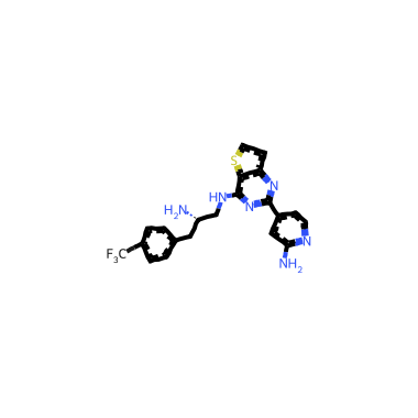 Nc1cc(-c2nc(NC[C@@H](N)Cc3ccc(C(F)(F)F)cc3)c3sccc3n2)ccn1